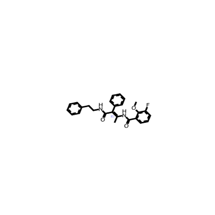 COc1c(F)cccc1C(=O)N/C(C)=C(/C(=O)NCCc1ccccc1)c1ccccc1